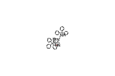 Cn1ncc(N(C=O)CCNC(c2ccccc2)(c2ccccc2)c2ccccc2)c1NC(c1ccccc1)(c1ccccc1)c1ccccc1